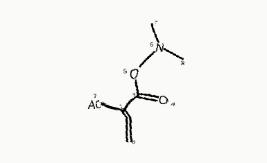 C=C(C(C)=O)C(=O)ON(C)C